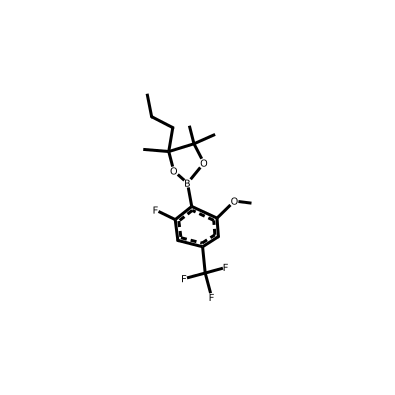 CCCC1(C)OB(c2c(F)cc(C(F)(F)F)cc2OC)OC1(C)C